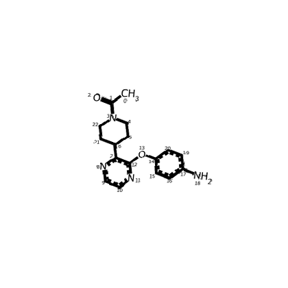 CC(=O)N1CCC(c2nccnc2Oc2ccc(N)cc2)CC1